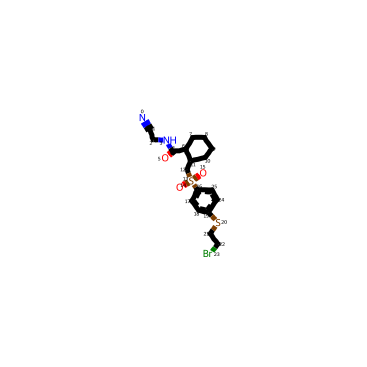 N#CCNC(=O)C1CCCCC1CS(=O)(=O)c1ccc(SCCBr)cc1